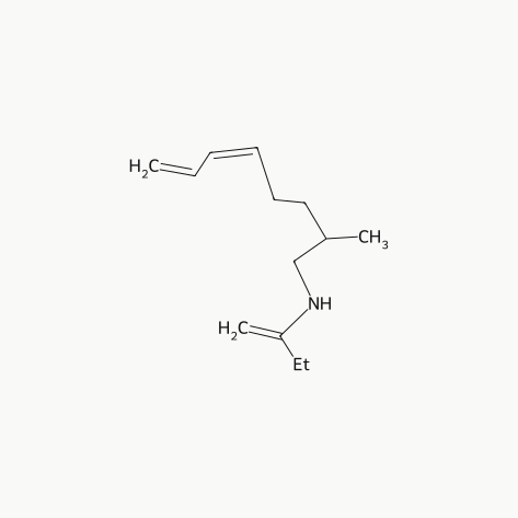 C=C/C=C\CCC(C)CNC(=C)CC